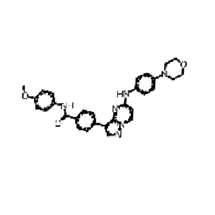 COc1ccc(NC(=O)c2ccc(-c3cnn4ccc(Nc5ccc(N6CCOCC6)cc5)nc34)cc2)cc1